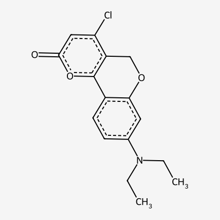 CCN(CC)c1ccc2c(c1)OCc1c(Cl)cc(=O)oc1-2